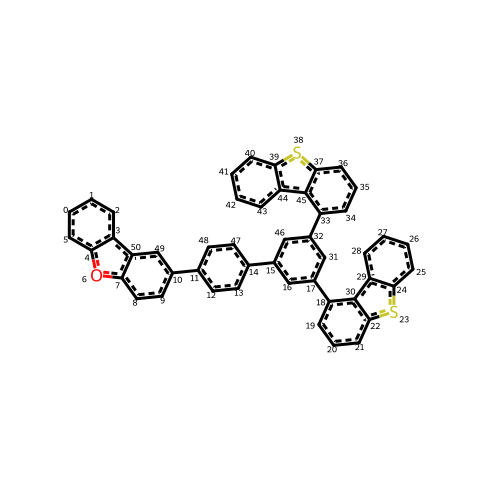 c1ccc2c(c1)oc1ccc(-c3ccc(-c4cc(-c5cccc6sc7ccccc7c56)cc(-c5cccc6sc7ccccc7c56)c4)cc3)cc12